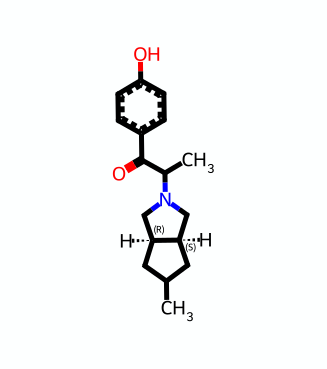 CC1C[C@@H]2CN(C(C)C(=O)c3ccc(O)cc3)C[C@@H]2C1